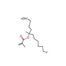 C=C(C)C(=O)OC(C)(CCCCCCF)CCCCCCCCCCCCC